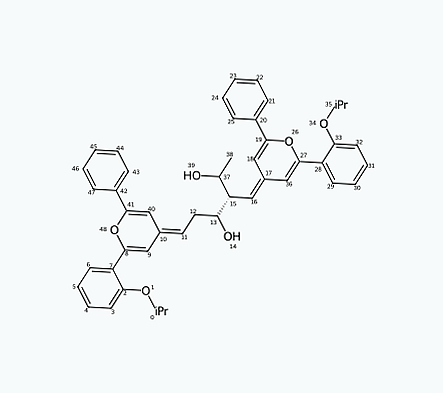 CC(C)Oc1ccccc1C1=C/C(=C/CC(O)[C@@H](/C=C2\C=C(c3ccccc3)OC(c3ccccc3OC(C)C)=C2)C(C)O)C=C(c2ccccc2)O1